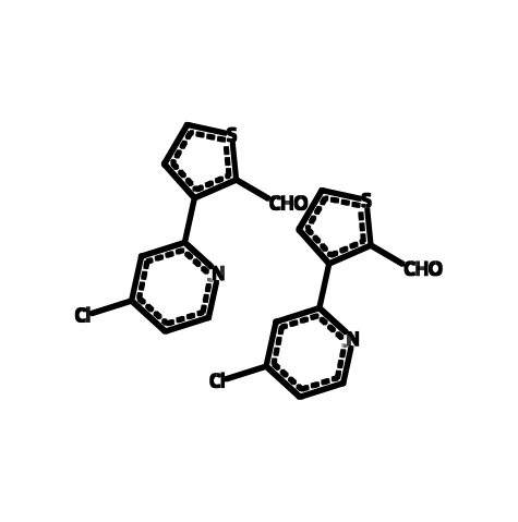 O=Cc1sccc1-c1cc(Cl)ccn1.O=Cc1sccc1-c1cc(Cl)ccn1